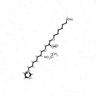 CCCCCCCCCCCCCCCCOCC(COCCCCCCC[n+]1ccsc1)OCC.CS(=O)(=O)O